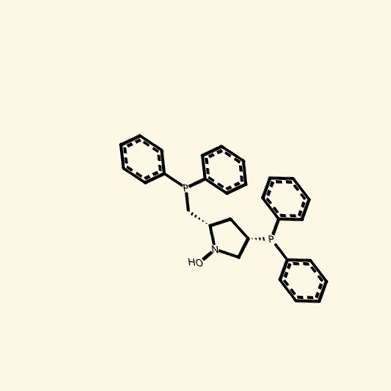 ON1C[C@@H](P(c2ccccc2)c2ccccc2)C[C@H]1CP(c1ccccc1)c1ccccc1